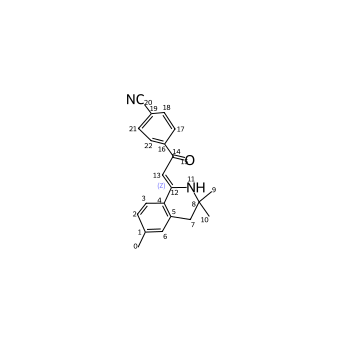 Cc1ccc2c(c1)CC(C)(C)N/C2=C\C(=O)c1ccc(C#N)cc1